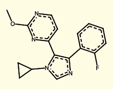 COc1nccc(-c2c(-c3ccccc3F)ncn2C2CC2)n1